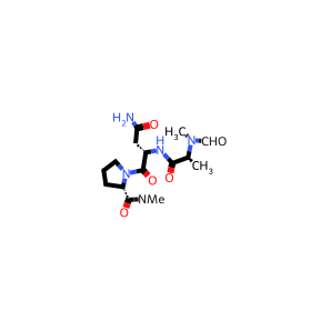 CNC(=O)[C@@H]1CCCN1C(=O)[C@H](CC(N)=O)NC(=O)[C@H](C)N(C)C=O